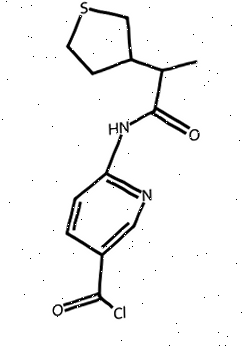 CC(C(=O)Nc1ccc(C(=O)Cl)cn1)C1CCSC1